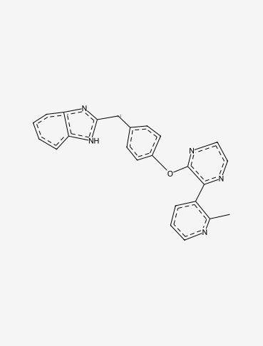 Cc1ncccc1-c1nccnc1Oc1ccc([C]c2nc3ccccc3[nH]2)cc1